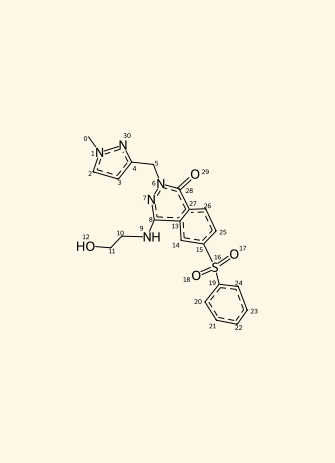 Cn1ccc(Cn2nc(NCCO)c3cc(S(=O)(=O)c4ccccc4)ccc3c2=O)n1